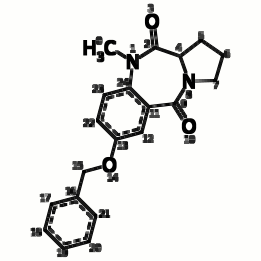 CN1C(=O)C2CCCN2C(=O)c2cc(OCc3ccccc3)ccc21